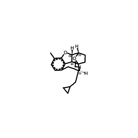 Cc1ccc2c3c1O[C@@H]1[C@@H]4CCC5(O4)[C@H](C2)N(CC2CC2)CC[C@@]315